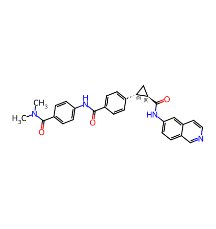 CN(C)C(=O)c1ccc(NC(=O)c2ccc([C@@H]3C[C@H]3C(=O)Nc3ccc4cnccc4c3)cc2)cc1